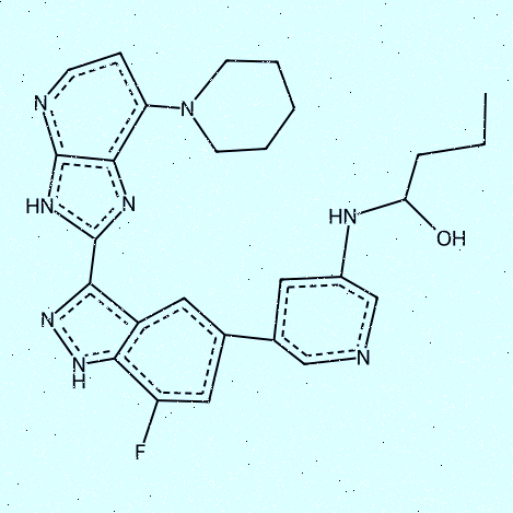 CCCC(O)Nc1cncc(-c2cc(F)c3[nH]nc(-c4nc5c(N6CCCCC6)ccnc5[nH]4)c3c2)c1